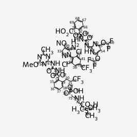 COc1nc(C)nc(NC(=O)NS(=O)(=O)c2ccccc2CCC(F)(F)F)n1.C[S+](C)C.Nc1c([N+](=O)[O-])cnn1-c1c(Cl)cc(C(F)(F)F)cc1Cl.O=C(Nc1nc(OC(F)F)cc(OC(F)F)n1)NS(=O)(=O)c1ccccc1C(=O)O.O=C(O)CNCP(=O)([O-])O